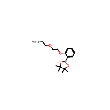 COCCOCCOc1ccccc1B1OC(C)(C)C(C)(C)O1